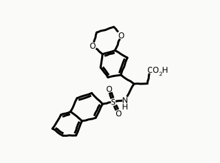 O=C(O)CC(NS(=O)(=O)c1ccc2ccccc2c1)c1ccc2c(c1)OCCO2